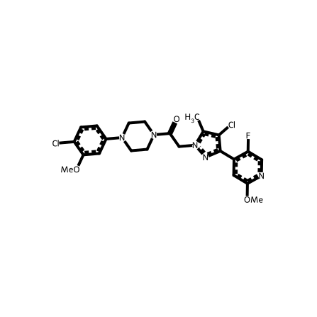 COc1cc(-c2nn(CC(=O)N3CCN(c4ccc(Cl)c(OC)c4)CC3)c(C)c2Cl)c(F)cn1